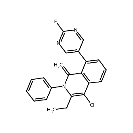 C=C1c2c(cccc2-c2cnc(F)nc2)C(Cl)=C(CC)N1c1ccccc1